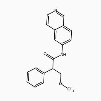 COCC(C(=O)Nc1ccc2cnccc2c1)c1ccccc1